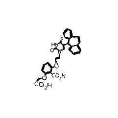 O=C(O)COc1cccc(OCCn2cc(C3c4ccccc4C=Cc4ccccc43)c(=S)[nH]c2=O)c1C(=O)O